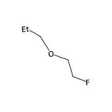 CCCOCCF